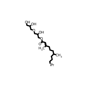 C/C(=C\C(=O)OCC(O)COCC(O)CO)CCCC(C)CCCC(C)C